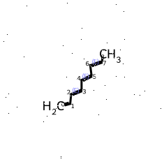 C=C/C=C/C=C/C=C/C